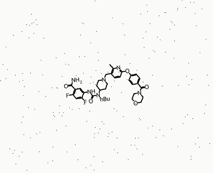 CCCCN(C(=O)Nc1cc(C(N)=O)c(F)cc1F)C1CCN(Cc2ccc(Oc3ccc(C(=O)N4CCOCC4)cc3)nc2C)CC1